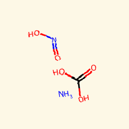 N.O=C(O)O.O=NO